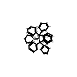 c1ccc(C(c2ccccc2)(c2ccccc2)N(N2CCCCC2)C(c2ccccc2)(c2ccccc2)c2ccccc2)cc1